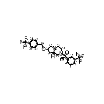 O=S(=O)(c1cccc(C(F)(F)F)c1)N1CCN2C[C@H](OCc3ccc(C(F)(F)F)cc3)C[C@H]2C1